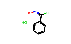 Cl.O/N=C(/Cl)c1ccccc1